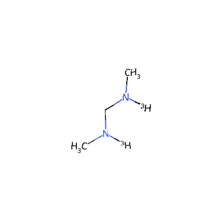 [3H]N(C)CN([3H])C